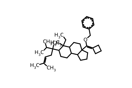 CCC1(C)C2CCC3(C(OCc4ccccc4)=C4CCC4)CCCC3C2CCC1C(C)(CC=C(C)C)C(C)C